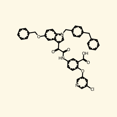 O=C(Nc1ccc(Oc2cncc(Cl)c2)c(C(=O)O)c1)C(=O)c1cn(Cc2ccc(Cc3ccccc3)cc2)c2ccc(OCc3ccccc3)cc12